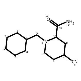 N#C[C]1CCN(CC2CCCCC2)C(C(N)=O)C1